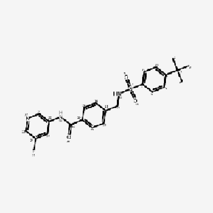 CC(C)(C)c1ccc(S(=O)(=O)NCc2ccc(C(=O)Nc3cncc(F)c3)cc2)cc1